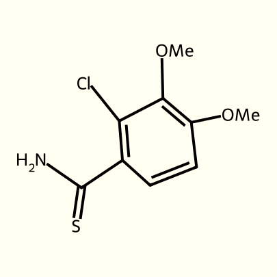 COc1ccc(C(N)=S)c(Cl)c1OC